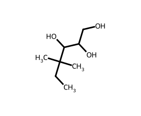 CCC(C)(C)C(O)C(O)CO